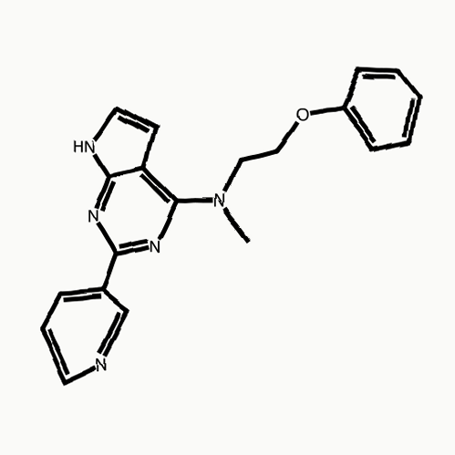 CN(CCOc1ccccc1)c1nc(-c2cccnc2)nc2[nH]ccc12